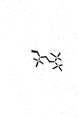 C=CN(CCN([Si](C)(C)C)[Si](C)(C)C)[Si](C)(C)C